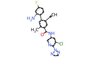 C#Cc1cc(C(=O)Nc2cnc(-n3nccn3)c(Cl)c2)c(C)cc1-c1ccc(F)cc1N